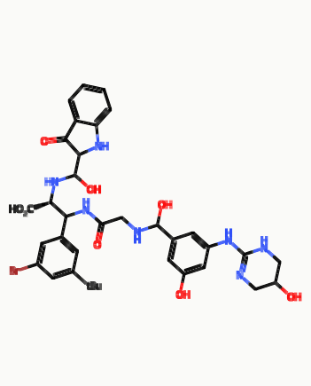 CC(C)(C)c1cc(Br)cc(C(NC(=O)CNC(O)c2cc(O)cc(NC3=NCC(O)CN3)c2)[C@H](NC(O)C2Nc3ccccc3C2=O)C(=O)O)c1